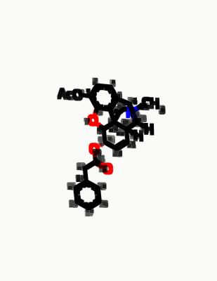 CC(=O)Oc1ccc2c3c1OC1[C@@H](OC(=O)Cc4ccccc4)C=C[C@H]4[C@@H](C2)N(C)CC[C@]314